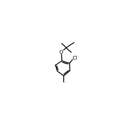 [CH2]c1ccc(OC(C)(C)C)c(Cl)c1